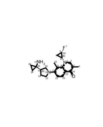 Cc1cn([C@@H]2C[C@@H]2F)c2c(C)c(N3CC[C@@H](C4(N)CC4)C3)ccc2c1=O